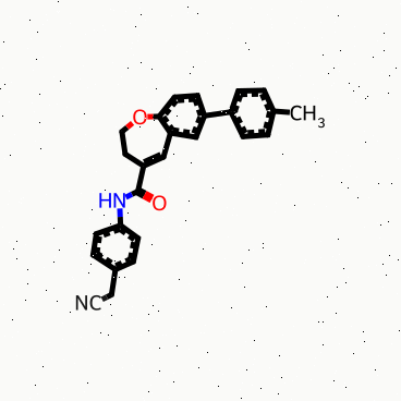 Cc1ccc(-c2ccc3c(c2)C=C(C(=O)Nc2ccc(CC#N)cc2)CCO3)cc1